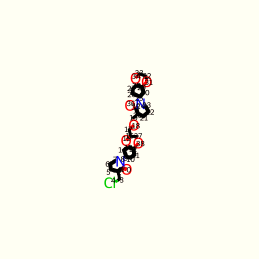 O=c1c(CCl)cccn1-c1ccc2c(c1)OC(COCc1cccn(-c3ccc4c(c3)OCCO4)c1=O)CO2